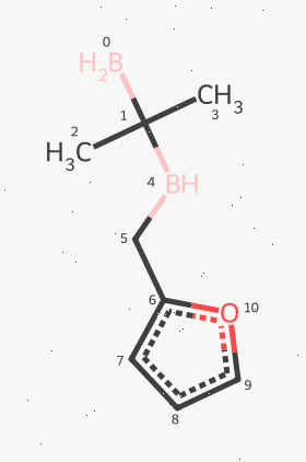 BC(C)(C)BCc1ccco1